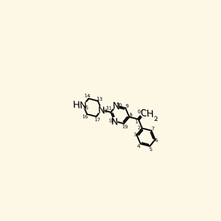 C=C(c1ccccc1)c1cnc(N2CCNCC2)nc1